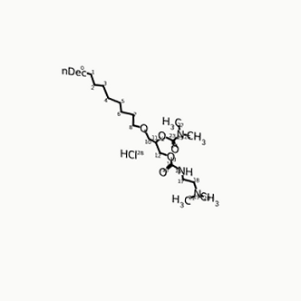 CCCCCCCCCCCCCCCCCCOCC(COC(=O)NCCN(C)C)OC(=O)N(C)C.Cl